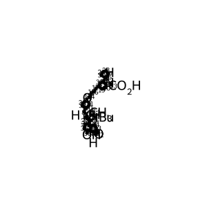 CC(C)(C)[Si](C)(C)OC(CNCc1ccc(OCCCCc2ccc(NC(=O)O)c(-c3ccccc3)c2)cc1)c1ccc(O)c2[nH]c(=O)ccc12